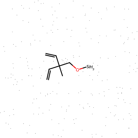 C=CC(C)(C=C)CO[SiH3]